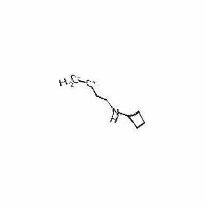 [CH2-][CH+]CCNC1CCC1